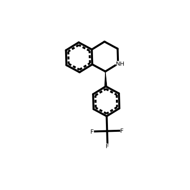 FC(F)(F)c1ccc([C@@H]2NCCc3ccccc32)cc1